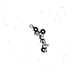 Cc1cc(Cl)ccc1C(NC(=O)Cc1csc(NCc2cccnc2C)n1)c1ccccc1